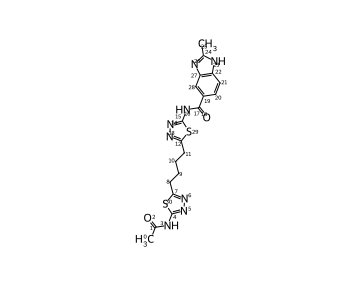 CC(=O)Nc1nnc(CCCCc2nnc(NC(=O)c3ccc4[nH]c(C)nc4c3)s2)s1